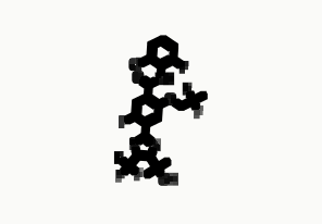 CC(F)(F)COc1cc(-c2nc(C(C)(C)O)c(C(F)(F)F)s2)c(F)cc1C(=O)Nc1c(F)cccc1Cl